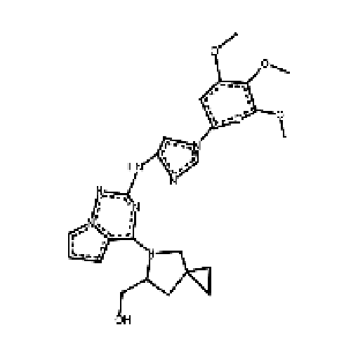 COc1cc(-n2cnc(Nc3nc(N4CC5(CC5)CC4CO)c4cccn4n3)c2)cc(OC)c1OC